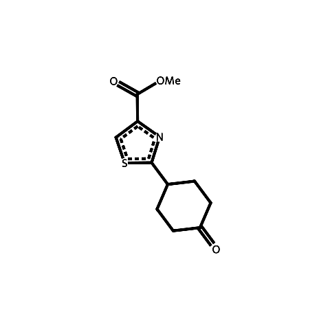 COC(=O)c1csc(C2CCC(=O)CC2)n1